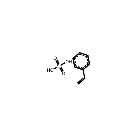 C=Cc1ccccc1.O=[Se](=O)(O)O